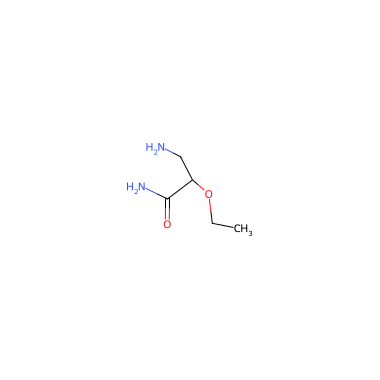 CCOC(CN)C(N)=O